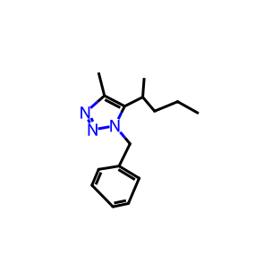 CCCC(C)c1c(C)nnn1Cc1ccccc1